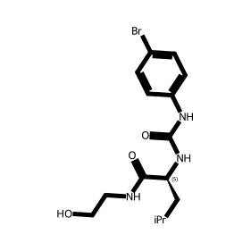 CC(C)C[C@H](NC(=O)Nc1ccc(Br)cc1)C(=O)NCCO